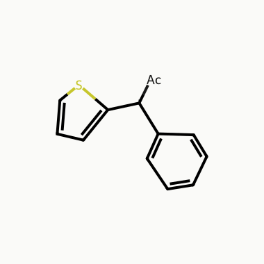 CC(=O)[C](c1ccccc1)c1cccs1